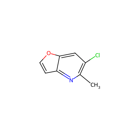 Cc1nc2ccoc2cc1Cl